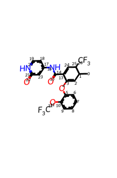 CC1C=C(Oc2ccccc2OC(F)(F)F)C(C(=O)Nc2cc[nH]c(=O)c2)=CC1C(F)(F)F